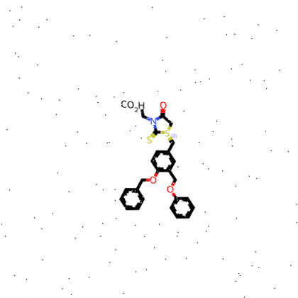 O=C(O)CN1C(=O)C/S(=C/c2ccc(OCc3ccccc3)c(COc3ccccc3)c2)C1=S